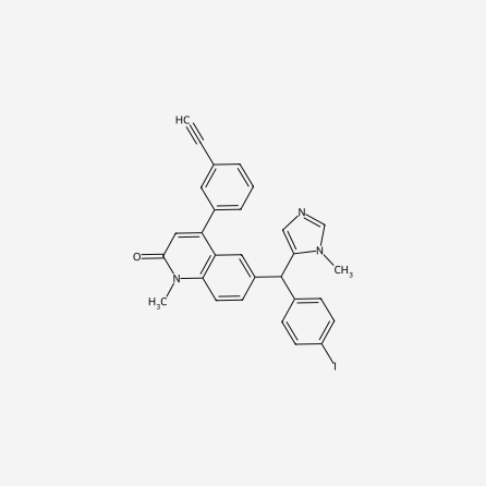 C#Cc1cccc(-c2cc(=O)n(C)c3ccc(C(c4ccc(I)cc4)c4cncn4C)cc23)c1